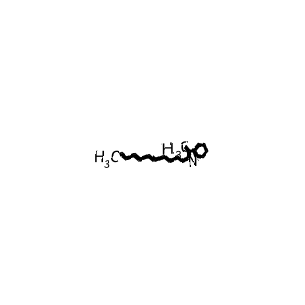 CCCCCCCCCCCC1=C(C)C2=C(CCCC2)[N]1